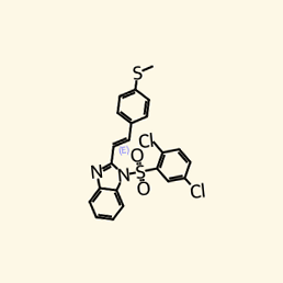 CSc1ccc(/C=C/c2nc3ccccc3n2S(=O)(=O)c2cc(Cl)ccc2Cl)cc1